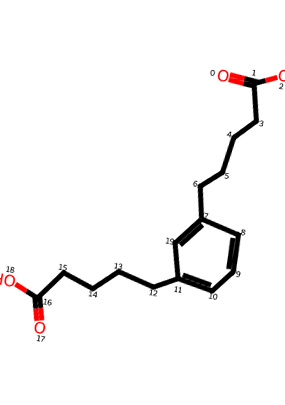 O=C(O)CCCCc1c[c]cc(CCCCC(=O)O)c1